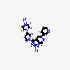 c1cncc(-c2cc3c(N4CCC(N5CCNCC5)C4)n[nH]c3cn2)c1